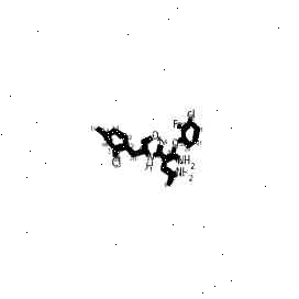 C/C(N)=C/C(C1=NOCC(Cc2ccc(C)cc2Cl)N1)=C(\N)Oc1cccc(Cl)c1F